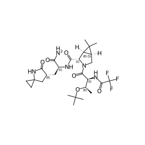 C[C@@H](OC(C)(C)C)[C@H](NC(=O)C(F)(F)F)C(=O)N1C[C@H]2[C@@H]([C@H]1C(=O)N[C@@H](C[C@@H]1CC3(CC3)NC1=O)C(N)=O)C2(C)C